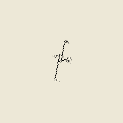 CCCCCCCCCCCCC(CCN(C)C)OC(CCCCCCCCCCCC)CCN(C)C